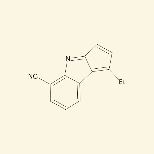 CCC1=C2C(=Nc3c(C#N)cccc32)C=C1